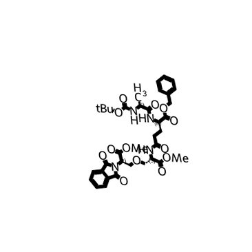 COC(=O)[C@H](COC[C@H](C(=O)OC)N1C(=O)c2ccccc2C1=O)NC(=O)CC[C@@H](NC(=O)[C@H](C)NC(=O)OC(C)(C)C)C(=O)OCc1ccccc1